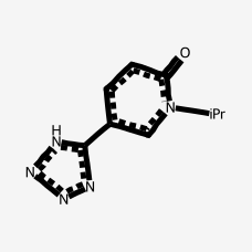 CC(C)n1cc(-c2nnn[nH]2)ccc1=O